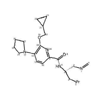 C=NC[C@H](CC(C)C)NC(=O)c1ccc(N2CCCC2)c(OCC2CC2)n1